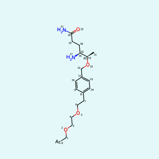 CC(=O)COCCOCCc1ccc(CO[C@H](C)[C@@H](N)CCC(N)=O)cc1